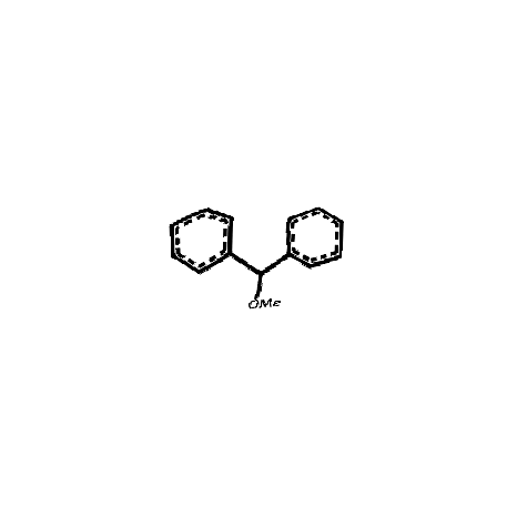 [CH2-][OH+]C(c1ccccc1)c1ccccc1